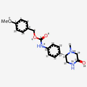 COc1ccc(COC(=O)Nc2ccc([C@H]3CNC(=O)CN3C)cc2)cc1